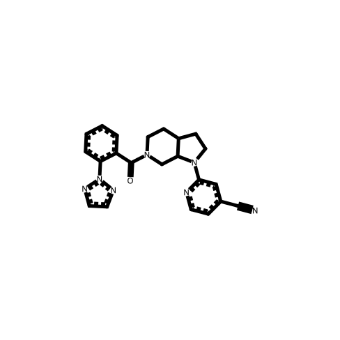 N#Cc1ccnc(N2CCC3CCN(C(=O)c4ccccc4-n4nccn4)CC32)c1